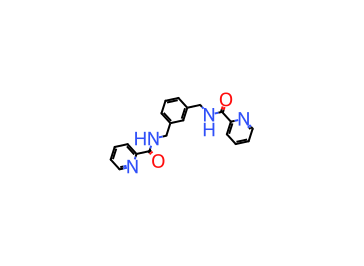 O=C(NCc1cccc(CNC(=O)c2ccccn2)c1)c1ccccn1